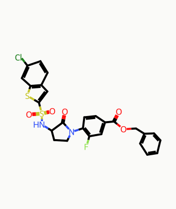 O=C(OCc1ccccc1)c1ccc(N2CCC(NS(=O)(=O)c3cc4ccc(Cl)cc4s3)C2=O)c(F)c1